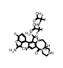 Cc1nn2c3c(cc(F)c(-c4ccc(F)c5sc(N)c(C#N)c45)c13)C(=O)N1CCNC[C@H]1CC2.O=C(O)C(F)(F)F.O=C(O)C(F)(F)F